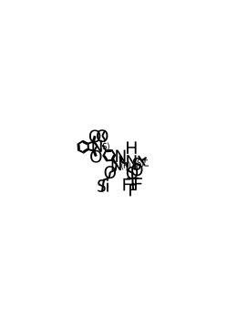 COC[C@H](c1ccc2c(c1)nc([C@H](COC(C)(C)C(F)(F)F)N[S@+]([O-])C(C)(C)C)n2COCC[Si](C)(C)C)N1C(=O)c2ccccc2C1=O